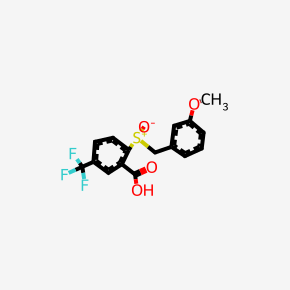 COc1cccc(C[S+]([O-])c2ccc(C(F)(F)F)cc2C(=O)O)c1